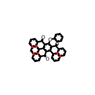 O=C(c1ccccc1)c1c(Oc2ccccc2)c(C(=O)c2ccccc2)c(-c2ccccc2)c(C(=O)c2ccccc2)c1-c1ccccc1